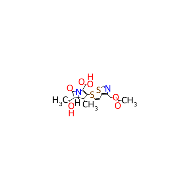 CC(=O)OCc1ncsc1/C=C\SC1=C(C(=O)O)N2C(=O)[C@H]([C@@H](C)O)[C@H]2[C@H]1C